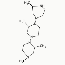 CC1CN(C)CCN1N1CCN(N2CCN[C@H](C)C2)[C@@H](C)C1